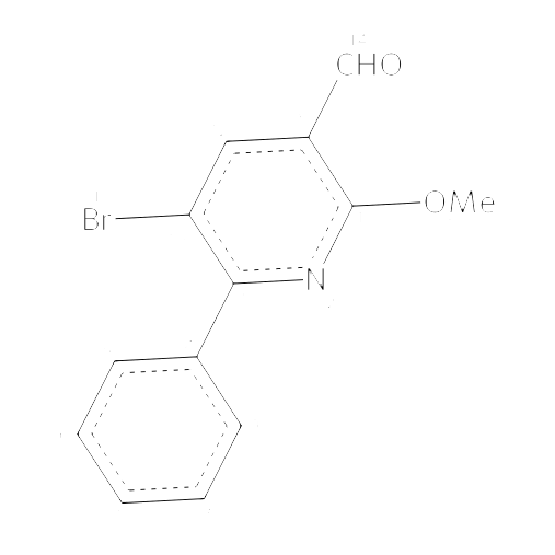 COc1nc(-c2ccccc2)c(Br)cc1C=O